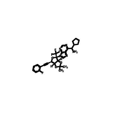 CC1(C)O[C@H]2[C@@H](O1)[C@](n1cnc3c(C(N)C4CCCC4)ncnc31)(C(F)(F)F)O[C@@H]2C#Cc1ccccc1F